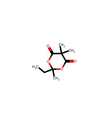 CCC1(C)OC(=O)C(C)(C)C(=O)O1